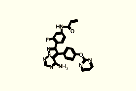 C=CC(=O)Nc1ccc(-c2nn3ncnc(N)c3c2-c2ccc(Oc3ncccn3)cc2)c(F)c1